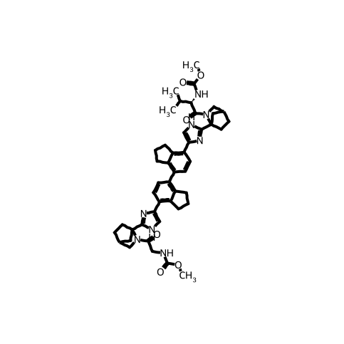 COC(=O)NCC(=O)N1CC2CCC1(c1nc(-c3ccc(-c4ccc(-c5c[nH]c(C67CCC(CN6C(=O)[C@@H](NC(=O)OC)C(C)C)C7)n5)c5c4CCC5)c4c3CCC4)c[nH]1)C2